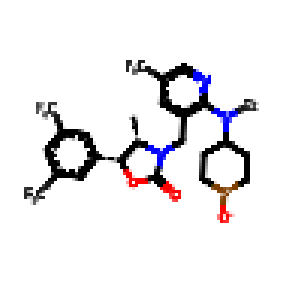 CCN(c1ncc(C(F)(F)F)cc1CN1C(=O)O[C@H](c2cc(C(F)(F)F)cc(C(F)(F)F)c2)[C@@H]1C)C1CC[S+]([O-])CC1